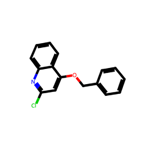 Clc1cc(OCc2ccccc2)c2ccccc2n1